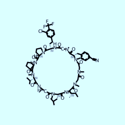 CC[C@H](C)[C@@H]1NC(=O)[C@H](CC(C)C)N(C)C(=O)C[C@@H](C)NC(=O)[C@H](C(C)C)N(C)C(=O)C2(CCCC2)NC(=O)[C@@H]2CCCN2C(=O)[C@H](CCc2ccc(C(F)(F)F)c(Cl)c2)NC(=O)CN(C)C(=O)[C@H](Cc2ccc(C#N)cc2)N(C)C(=O)CN(C)C(=O)CN(C)C1=O